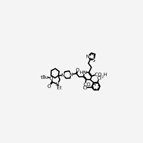 CCN(CC1(N2CCN(C(=O)CC3=C(C(=O)O)C(c4c(Cl)cccc4Cl)C(C(=O)O)=C(CCc4nccs4)N3)CC2)CCCCC1)C(=O)OC(C)(C)C